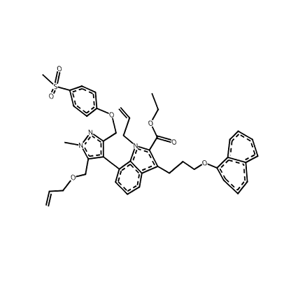 C=CCOCc1c(-c2cccc3c(CCCOc4cccc5ccccc45)c(C(=O)OCC)n(CC=C)c23)c(COc2ccc(S(C)(=O)=O)cc2)nn1C